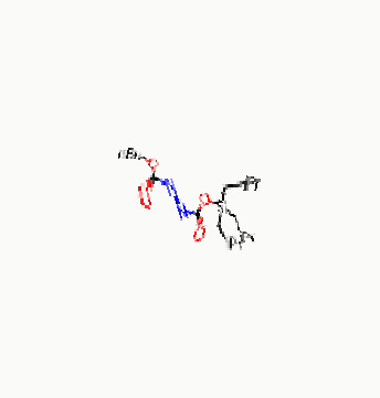 CCCCOC(=O)/N=N/C(=O)O[Si](CC(C)C)(CC(C)C)CC(C)C